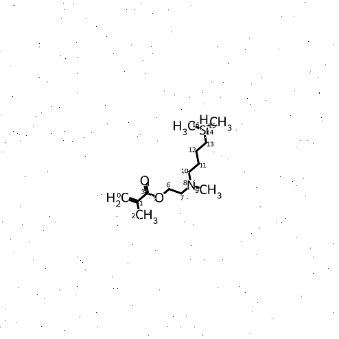 C=C(C)C(=O)OCCN(C)CCCC[SiH](C)C